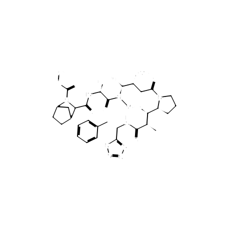 CC[C@H](C)[C@@H]([C@@H](CC(=O)N1CCC[C@H]1[C@H](OC)[C@@H](C)C(=O)N[C@@H](Cc1ccccc1)c1nnn[nH]1)OC)N(C)C(=O)[C@@H](NC(=O)C1C2CCC(C2)N1C(=O)OC(C)(C)C)C(C)C